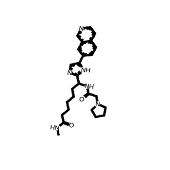 CNC(=O)CCCCCC(NC(=O)CN1CCCC1)c1ncc(-c2ccc3ccncc3c2)[nH]1